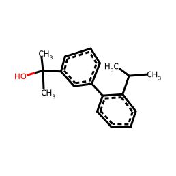 CC(C)c1ccccc1-c1cccc(C(C)(C)O)c1